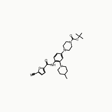 CC1CCN(c2cc(N3CCN(C(=O)OC(C)(C)C)CC3)ccc2NC(=O)c2ccc(C#N)o2)CC1